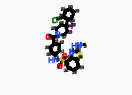 CNc1nc2c(S(=O)(=O)Nc3ccc(C(=O)N4CCC(I)(c5ccccc5Cl)CC4)cc3)cccc2s1